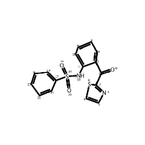 O=C(c1nccs1)c1ccccc1NS(=O)(=O)c1ccccc1